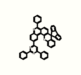 c1ccc(-c2cc(-c3ccc4nc(-c5ccccc5)c5ccc6c(c5c4c3)Oc3ccccc3C63c4ccccc4-c4ccccc43)nc(-c3ccccc3)n2)cc1